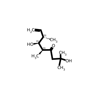 C=C[C@H](C)[C@H](O)[C@H](C)C(=O)CC(C)(C)O